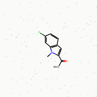 COC(=O)c1cc2ccc(F)cc2n1C